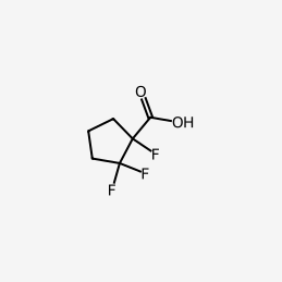 O=C(O)C1(F)CCCC1(F)F